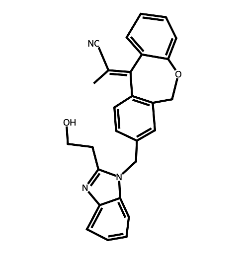 CC(C#N)=C1c2ccc(Cn3c(CCO)nc4ccccc43)cc2COc2ccccc21